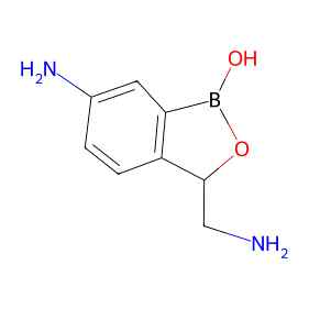 NCC1OB(O)c2cc(N)ccc21